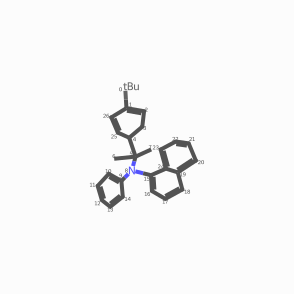 CC(C)(C)C1=CCC(C(C)(C)N(c2ccccc2)c2cccc3ccccc23)C=C1